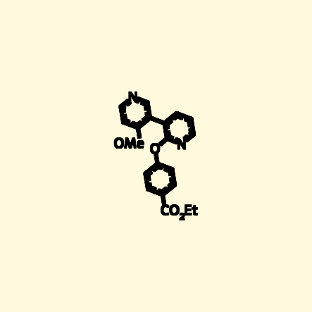 CCOC(=O)c1ccc(Oc2ncccc2-c2cnccc2OC)cc1